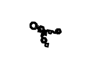 Clc1ccc(Cn2nc(COCCN3CCCC3)c3ccc(N4CCCCCCC4)nc32)cc1